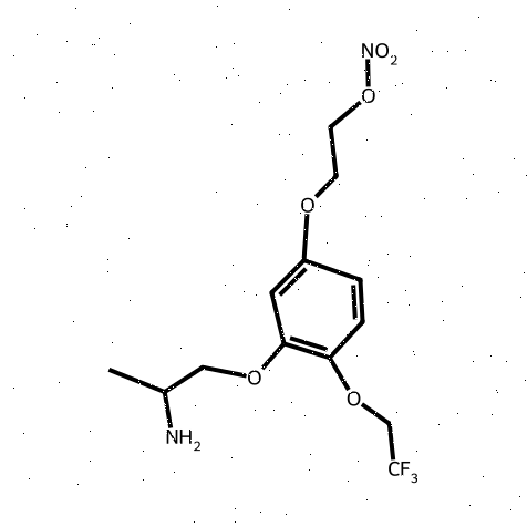 CC(N)COc1cc(OCCO[N+](=O)[O-])ccc1OCC(F)(F)F